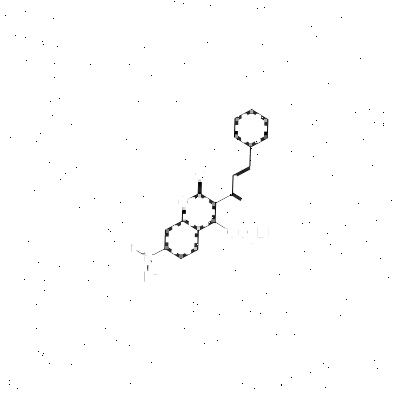 CCOC(=O)c1c(C(=O)/C=C/c2ccccc2)c(=O)oc2cc(N(CC)CC)ccc12